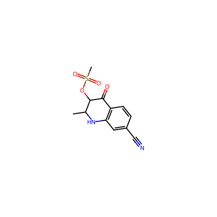 CC1Nc2cc(C#N)ccc2C(=O)C1OS(C)(=O)=O